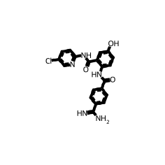 N=C(N)c1ccc(C(=O)Nc2ccc(O)cc2C(=O)Nc2ccc(Cl)cn2)cc1